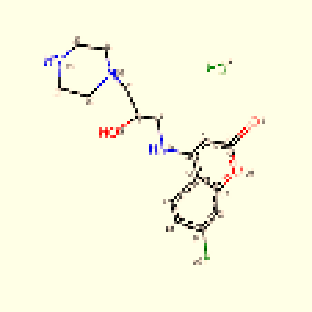 Cl.O=c1cc(NCC(O)CN2CCNCC2)c2ccc(F)cc2o1